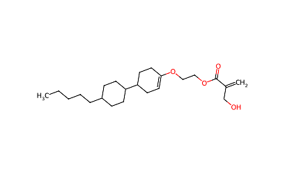 C=C(CO)C(=O)OCCOC1=CCC(C2CCC(CCCCC)CC2)CC1